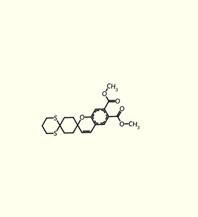 COC(=O)c1cc2c(cc1C(=O)OC)OC1(C=C2)CCC2(CC1)SCCCS2